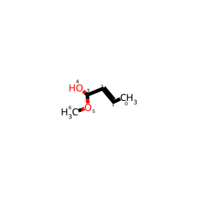 C/C=C/C(O)OC